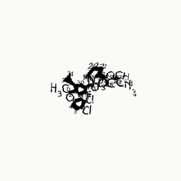 C[C@@H](Oc1ccc(Cl)c(Cl)c1)c1cc(F)c(C(=O)N2CCCC2C(=O)OC(C)(C)C)cc1C1CC1